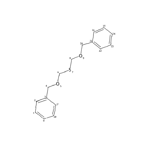 c1ccc(COCSCOCc2ccccc2)cc1